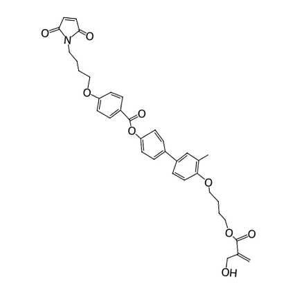 C=C(CO)C(=O)OCCCCOc1ccc(-c2ccc(OC(=O)c3ccc(OCCCCN4C(=O)C=CC4=O)cc3)cc2)cc1C